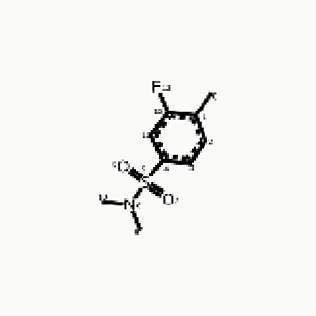 Cc1ccc(S(=O)(=O)N(C)C)cc1F